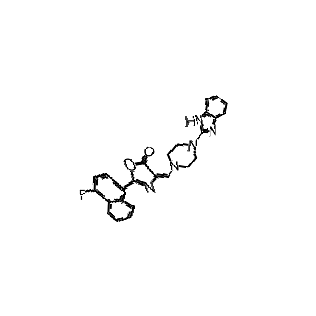 O=C1OC(c2ccc(F)c3ccccc23)=N/C1=C/N1CCN(c2nc3ccccc3[nH]2)CC1